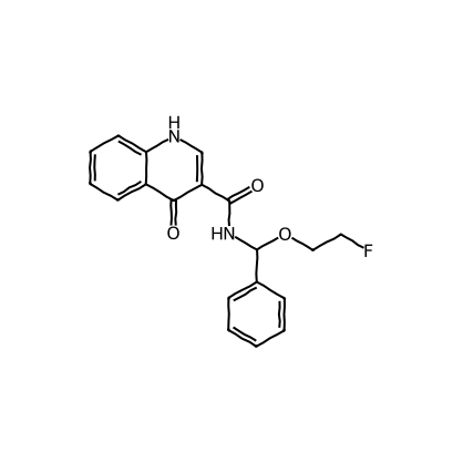 O=C(NC(OCCF)c1ccccc1)c1c[nH]c2ccccc2c1=O